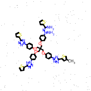 Cc1csc(-c2nnn(-c3ccc(OCC(COc4ccc(N(N)/N=C(\N)c5cccs5)cc4)(COc4ccc(-n5nnc(-c6cccs6)n5)cc4)COc4ccc(-n5nnc(-c6cccs6)n5)cc4)cc3)n2)c1